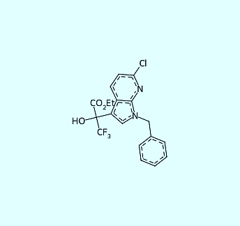 CCOC(=O)C(O)(c1cn(Cc2ccccc2)c2nc(Cl)ccc12)C(F)(F)F